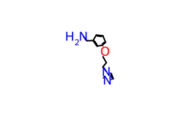 NCc1cccc(OCCCn2ccnc2)c1